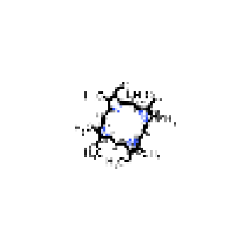 CCC1=C(C)C2=NC1=CC1=NC(=CC3=NC(=CC4=NC(=C2)C(C)=C4CC)C(CC)=C3C)C(C)=C1CC